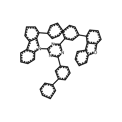 c1ccc(-c2cccc(-c3nc(-c4cccc(-c5cccc6oc7ccccc7c56)c4)nc(-n4c5ccccc5c5cccc(-c6ccccc6)c54)n3)c2)cc1